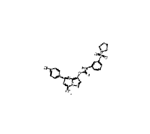 O=C(Nc1cccc(S(=O)(=O)N2CCCC2)c1)Oc1cnn2c(C(F)(F)F)cc(-c3ccc(Cl)cc3)nc12